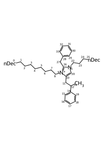 CCCCCCCCCCCCCCCCCC[n+]1c(CC(C)c2ccccc2)cn(CCCCCCCCCCCCC)c1Cc1ccccc1